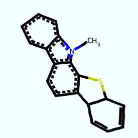 Cn1c2ccccc2c2ccc3c(c21)SC1C=CC=CC31